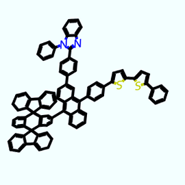 C1=CC2=C(CC1)C1(c3ccccc32)c2ccccc2C2(C3=CCCC=C3c3ccccc32)c2ccc(-c3c4ccccc4c(-c4ccc(-c5ccc(-c6ccc(-c7ccccc7)s6)s5)cc4)c4cc(-c5ccc(-c6nc7ccccc7n6-c6ccccc6)cc5)ccc34)cc21